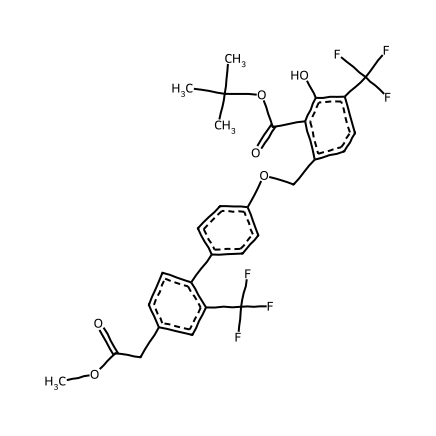 COC(=O)Cc1ccc(-c2ccc(OCc3ccc(C(F)(F)F)c(O)c3C(=O)OC(C)(C)C)cc2)c(C(F)(F)F)c1